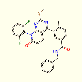 CSc1nc(-c2cc(C(=O)NCc3ccccc3)ccc2C)c2ccc(=O)n(-c3c(F)cccc3F)c2n1